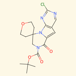 CC(C)(C)OC(=O)N1CC2(CCOCC2)n2c(cc3cnc(Cl)nc32)C1=O